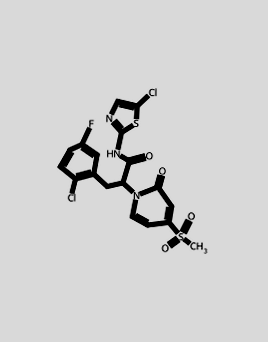 CS(=O)(=O)c1ccn(C(Cc2cc(F)ccc2Cl)C(=O)Nc2ncc(Cl)s2)c(=O)c1